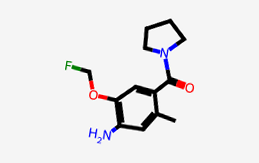 Cc1cc(N)c(OCF)cc1C(=O)N1CCCC1